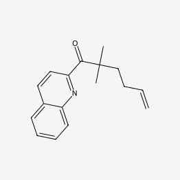 C=CCCC(C)(C)C(=O)c1ccc2ccccc2n1